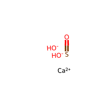 O=S.[Ca+2].[OH-].[OH-]